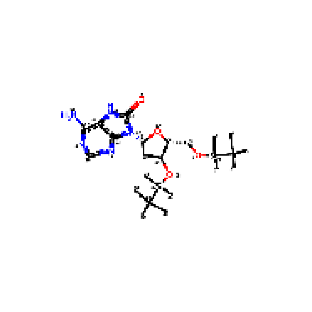 CC(C)(C)[Si](C)(C)OC[C@H]1O[C@@H](n2c(=O)[nH]c3c(N)ncnc32)CC1O[Si](C)(C)C(C)(C)C